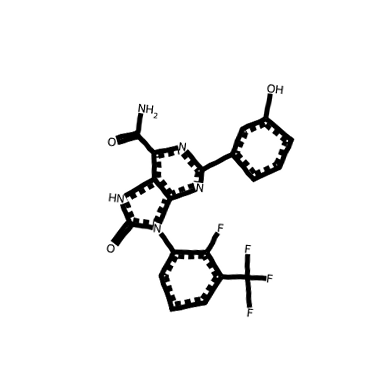 NC(=O)c1nc(-c2cccc(O)c2)nc2c1[nH]c(=O)n2-c1cccc(C(F)(F)F)c1F